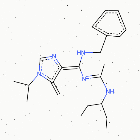 C=c1/c(=C(\N=C(/C)NC(CC)CC)NCc2ccccc2)ncn1C(C)C